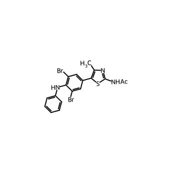 CC(=O)Nc1nc(C)c(-c2cc(Br)c(Nc3ccccc3)c(Br)c2)s1